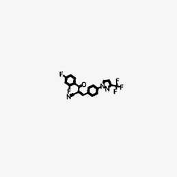 N#CC(=Cc1ccc(-n2ccc(C(F)(F)F)n2)cc1)C(=O)c1ccc(F)cc1F